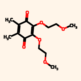 COCCOC1=C(OCCOC)C(=O)C(C)=C(C)C1=O